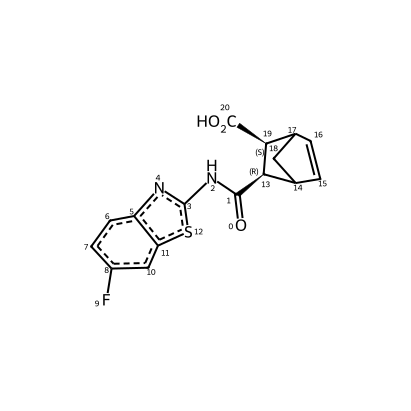 O=C(Nc1nc2ccc(F)cc2s1)[C@@H]1C2C=CC(C2)[C@@H]1C(=O)O